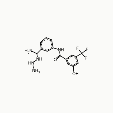 NNNC(N)c1cccc(NC(=O)c2cc(O)cc(C(F)(F)F)c2)c1